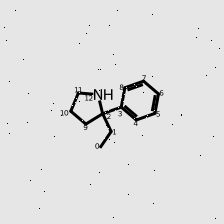 CCC1(c2ccccc2)CCCN1